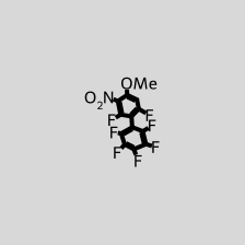 COc1cc(F)c(-c2c(F)c(F)c(F)c(F)c2F)c(F)c1[N+](=O)[O-]